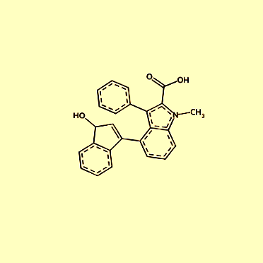 Cn1c(C(=O)O)c(-c2ccccc2)c2c(C3=CC(O)c4ccccc43)cccc21